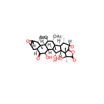 CC(=O)O[C@H]1[C@H]2[C@H]([C@@H]3[C@@H](O)[C@@H]4[C@H]([C@H](C)[C@@H]5O[C@@]56OC(=O)[C@@](C)(O)[C@]46C)[C@@]3(C)[C@H]1OC(C)=O)[C@@H](O)C(=O)[C@H]1C[C@@H]3O[C@@H]3[C@H](OC(C)=O)[C@]21C